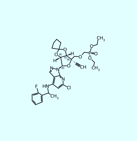 C#C[C@]1(COCP(=O)(OCC)OCC)O[C@@H](n2ncc3c(NC(C)c4ccccc4F)cc(Cl)nc32)[C@@H]2OC3(CCCC3)O[C@@H]21